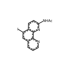 CC(=O)Nc1ccc2c(I)cc3cccnc3c2n1